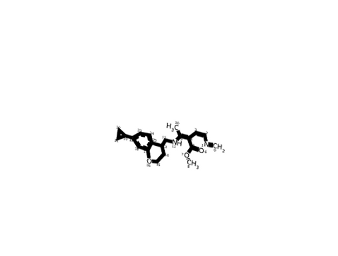 C=N/C=C\C(C(=O)OC)=C(/C)NCC1CCOc2cc(C3CC3)ccc21